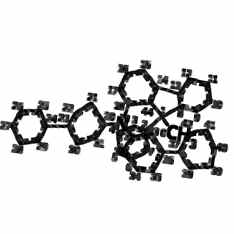 CC1(c2ccccc2)c2ccccc2-c2cccc(N(c3ccc(-c4ccccc4)cc3)c3cccc(-c4ccccc4)c3)c21